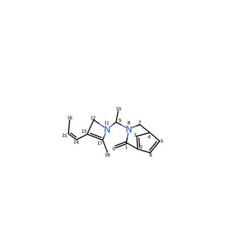 C=C1C2=CC(C=C2)CN1C(C)N1CC(/C=C\C)=C1C